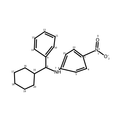 O=[N+]([O-])c1ccc(NC(c2ccccc2)C2CCCCC2)cc1